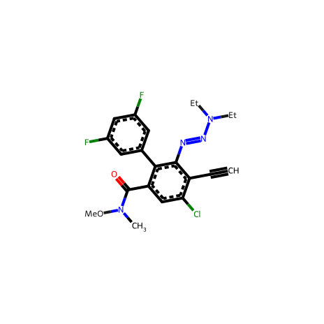 C#Cc1c(Cl)cc(C(=O)N(C)OC)c(-c2cc(F)cc(F)c2)c1N=NN(CC)CC